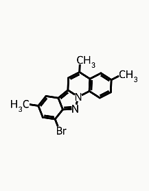 Cc1ccc2c(c1)c(C)cc1c3cc(C)cc(Br)c3nn21